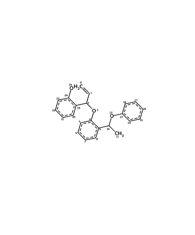 C=CC(Oc1ccccc1C(C)Oc1ccccc1)c1ccccc1[O]